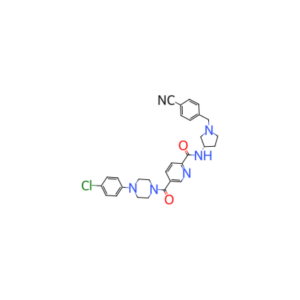 N#Cc1ccc(CN2CC[C@H](NC(=O)c3ccc(C(=O)N4CCN(c5ccc(Cl)cc5)CC4)cn3)C2)cc1